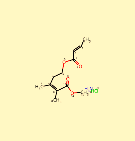 CC=CC(=O)OCCC(C)=C(C)C(=O)OC.Cl.N